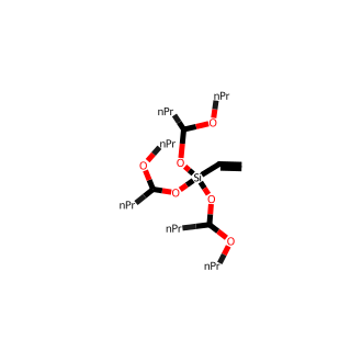 C=C[Si](OC(CCC)OCCC)(OC(CCC)OCCC)OC(CCC)OCCC